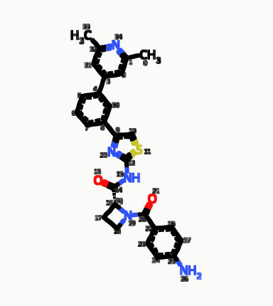 Cc1cc(-c2cccc(-c3csc(NC(=O)[C@H]4CCN4C(=O)c4ccc(N)cc4)n3)c2)cc(C)n1